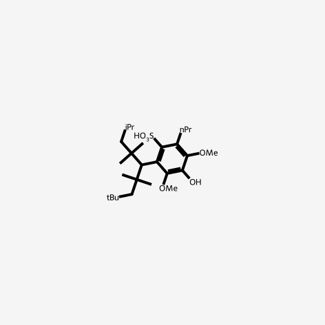 CCCc1c(OC)c(O)c(OC)c(C(C(C)(C)CC(C)C)C(C)(C)CC(C)(C)C)c1S(=O)(=O)O